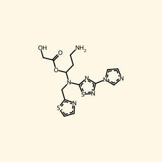 NCCC(OC(=O)CO)N(Cc1nccs1)c1nc(-n2ccnc2)ns1